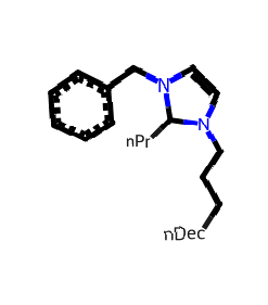 CCCCCCCCCCCCCN1C=CN(Cc2ccccc2)C1CCC